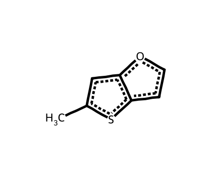 Cc1cc2occc2s1